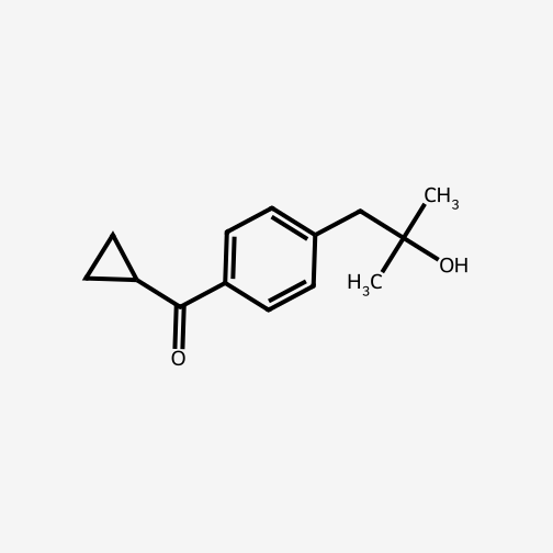 CC(C)(O)Cc1ccc(C(=O)C2CC2)cc1